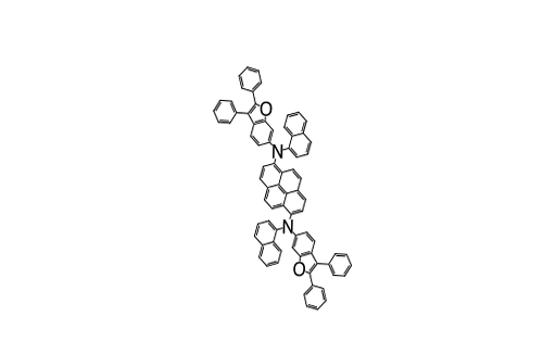 c1ccc(-c2oc3cc(N(c4cccc5ccccc45)c4ccc5ccc6c(N(c7ccc8c(-c9ccccc9)c(-c9ccccc9)oc8c7)c7cccc8ccccc78)ccc7ccc4c5c76)ccc3c2-c2ccccc2)cc1